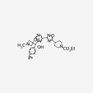 CCOC(=O)N1CCC(c2nc(-c3cncc([C@@](O)(c4ccc(C(C)C)cc4)C4(C)CN(C)C4)c3)no2)CC1